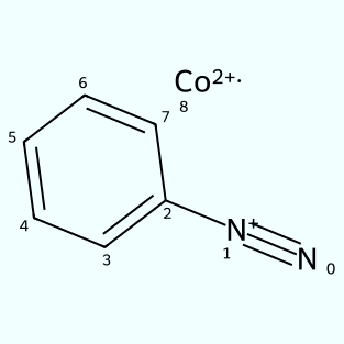 N#[N+]c1ccccc1.[Co+2]